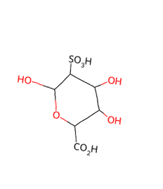 O=C(O)C1OC(O)C(S(=O)(=O)O)C(O)C1O